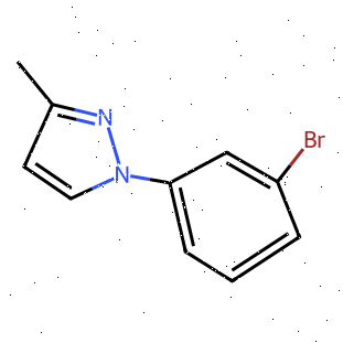 Cc1ccn(-c2cccc(Br)c2)n1